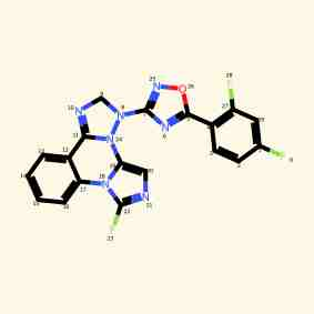 Fc1ccc(-c2nc(N3CN=C4c5ccccc5-n5c(cnc5F)N43)no2)c(F)c1